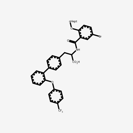 CCCCCCCOc1ccc(Br)cc1C(=O)NC(Cc1ccc(-c2ccccc2Oc2ccc(C(F)(F)F)cc2)cc1)C(=O)O